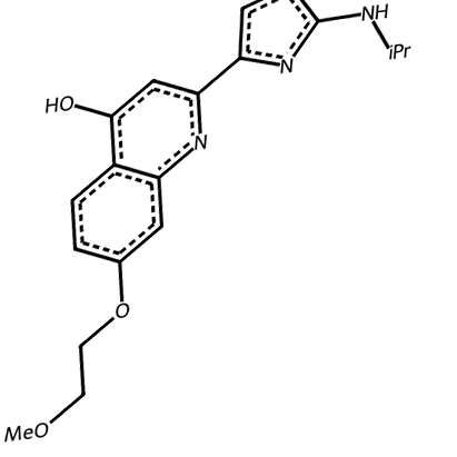 COCCOc1ccc2c(O)cc(-c3csc(NC(C)C)n3)nc2c1